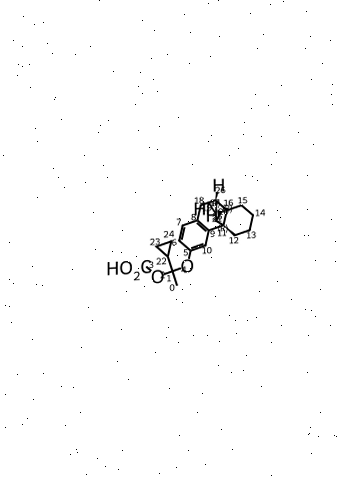 CC(OC(=O)O)(Oc1ccc2c(c1)[C@@]13CCCC[C@H]1[C@@H](C2)NCC3)C1CC1